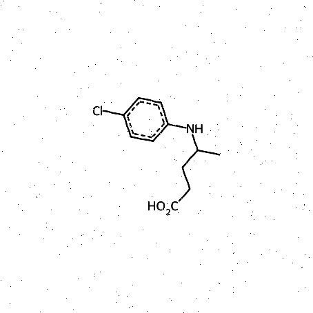 CC(CCC(=O)O)Nc1ccc(Cl)cc1